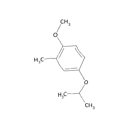 COc1ccc(OC(C)C)cc1C